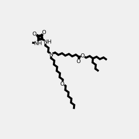 CCCCCCCCOCCCCCCCCN(CCCCCCCC(=O)OCCC(CCCC)CCCC)CCCNc1c(NC)c(=O)c1=O